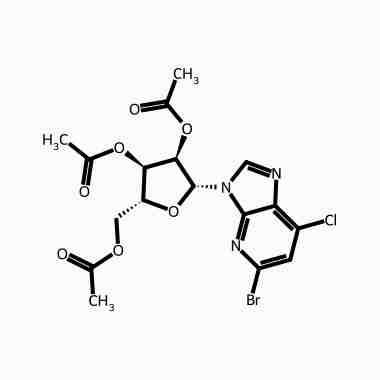 CC(=O)OC[C@H]1O[C@@H](n2cnc3c(Cl)cc(Br)nc32)[C@H](OC(C)=O)[C@@H]1OC(C)=O